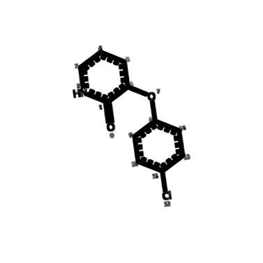 O=c1[nH]cccc1Oc1ccc(Cl)cc1